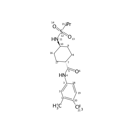 Cc1cc(NC(=O)[C@H]2CC[C@H](NS(=O)(=O)C(C)C)CC2)ccc1C(F)(F)F